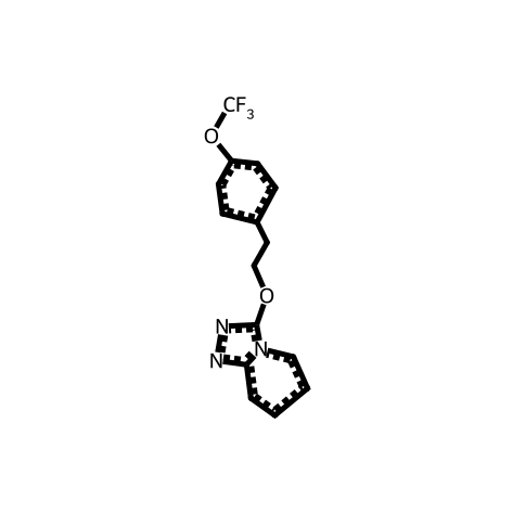 FC(F)(F)Oc1ccc(CCOc2nnc3ccccn23)cc1